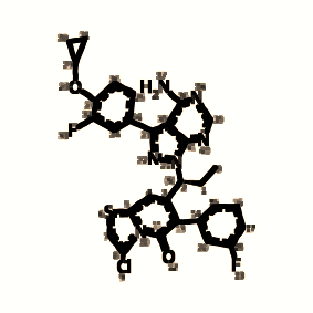 CC[C@@H](c1cc2scc(Cl)n2c(=O)c1-c1cccc(F)c1)n1nc(-c2ccc(OC3CC3)c(F)c2)c2c(N)ncnc21